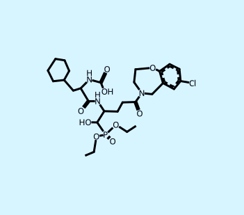 CCOP(=O)(OCC)C(O)C(CCC(=O)N1CCOc2ccc(Cl)cc2C1)NC(=O)C(CC1CCCCC1)NC(=O)O